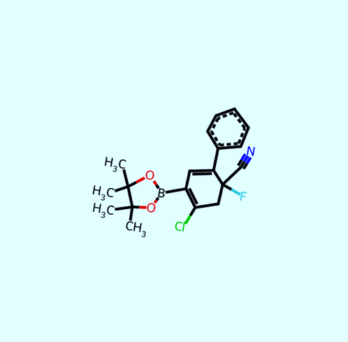 CC1(C)OB(C2=C(Cl)CC(F)(C#N)C(c3ccccc3)=C2)OC1(C)C